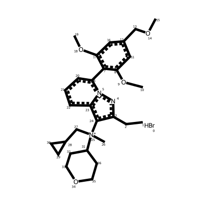 Br.CCc1nn2c(-c3c(OC)cc(COC)cc3OC)cccc2c1[N+](C)(CC1CC1)C1CCOCC1